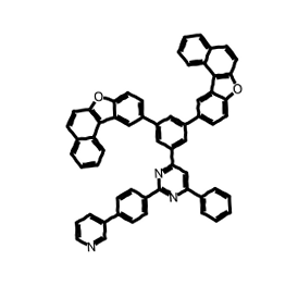 c1ccc(-c2cc(-c3cc(-c4ccc5oc6ccc7ccccc7c6c5c4)cc(-c4ccc5oc6ccc7ccccc7c6c5c4)c3)nc(-c3ccc(-c4cccnc4)cc3)n2)cc1